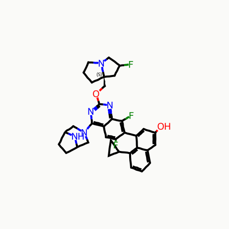 Oc1cc(-c2c(F)cc3c(N4CC5CCC(C4)N5)nc(OC[C@@]45CCCN4CC(F)C5)nc3c2F)c2c(C3CC3)cccc2c1